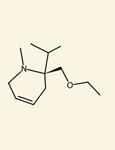 CCOC[C@@]1(C(C)C)CC=CCN1C